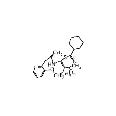 C=C(Cc1ccccc1OC)NC(S/C(=N\C)C1CCCCC1)=C(C)C